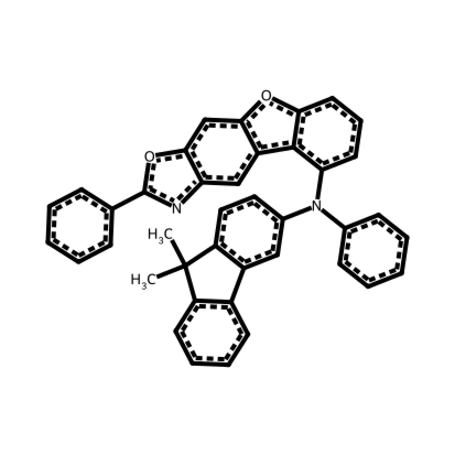 CC1(C)c2ccccc2-c2cc(N(c3ccccc3)c3cccc4oc5cc6oc(-c7ccccc7)nc6cc5c34)ccc21